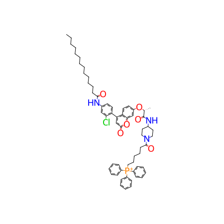 CCCCCCCCCCCCCC(=O)Nc1ccc(-c2cc(=O)oc3cc(O[C@H](C)C(=O)NC4CCN(C(=O)CCCCC[P+](c5ccccc5)(c5ccccc5)c5ccccc5)CC4)ccc23)c(Cl)c1